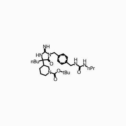 CCCCC1(C2CCCN(C(=O)OC(C)(C)C)C2)NC(=N)N(Cc2ccc(CNC(=O)NCCC)cc2)C1=O